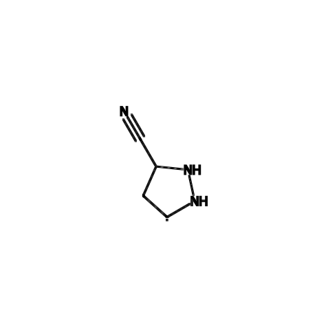 N#CC1C[CH]NN1